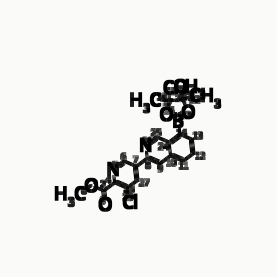 COC(=O)c1ncc(-c2cc3cccc(B4OC(C)(C)C(C)(C)O4)c3cn2)cc1Cl